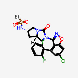 CCS(=O)(=O)N[C@H]1C[C@H]2CN(c3noc4cc(Cl)cc(-c5c(F)cccc5F)c34)C(=O)N2C1